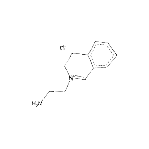 NCC[N+]1=Cc2ccccc2CC1.[Cl-]